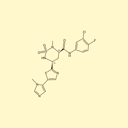 CN1[C@@H](C(=O)Nc2ccc(F)c(Cl)c2)C[C@@H](c2ncc(-c3cncn3C)s2)NS1(=O)=O